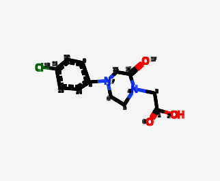 O=C(O)CN1CCN(c2ccc(Cl)cc2)CC1=O